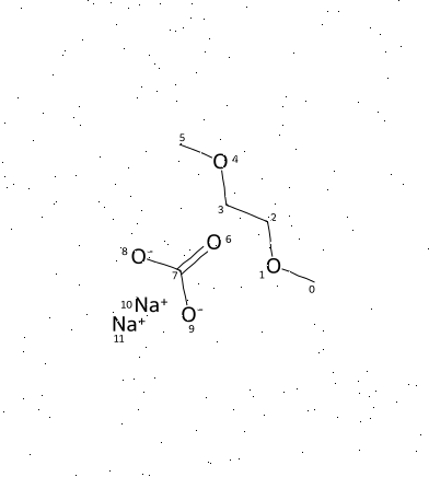 COCCOC.O=C([O-])[O-].[Na+].[Na+]